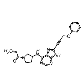 C=CC(=O)N1CCC(Nc2ncnc3[nH]c(C#CCOc4ccccc4)nc23)C1